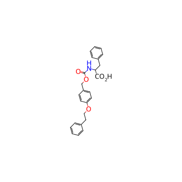 O=C(NC(Cc1ccccc1)C(=O)O)OCc1ccc(OCCc2ccccc2)cc1